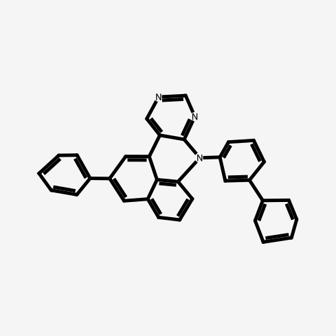 c1ccc(-c2cccc(N3c4ncncc4-c4cc(-c5ccccc5)cc5cccc3c45)c2)cc1